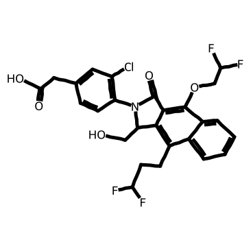 O=C(O)Cc1ccc(N2C(=O)c3c(c(CCC(F)F)c4ccccc4c3OCC(F)F)C2CO)c(Cl)c1